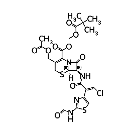 CC(=O)OCC1=C(C(=O)OCOC(=O)C(C)(C)C)N2C(=O)[C@@H](NC(=O)C(=CCl)c3csc(NC=O)n3)[C@H]2SC1